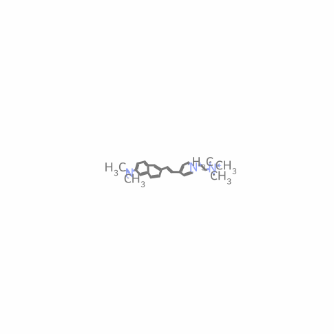 CN(C)c1ccc2cc(/C=C/c3cc[n+](CC[N+](C)(C)C)cc3)ccc2c1